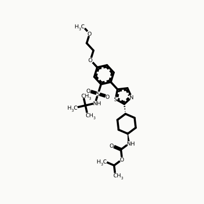 COCCOc1ccc(-c2cnc([C@H]3CC[C@H](NC(=O)OC(C)C)CC3)s2)c(S(=O)(=O)NC(C)(C)C)c1